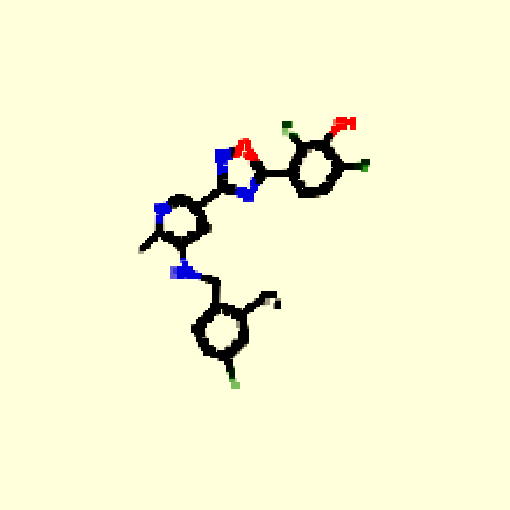 Cc1ncc(-c2noc(-c3ccc(F)c(O)c3F)n2)cc1NCc1ccc(F)cc1C(F)(F)F